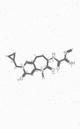 C=NC(=N)C(=O)N[C@@H]1CCc2cn(CC3CC3)c(=O)cc2N(C)C1=O